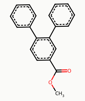 COC(=O)c1ccc(-c2ccccc2)c(-c2ccccc2)c1